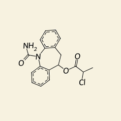 CC(Cl)C(=O)OC1Cc2ccccc2N(C(N)=O)c2ccccc21